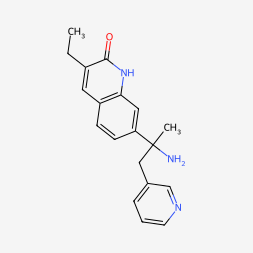 CCc1cc2ccc(C(C)(N)Cc3cccnc3)cc2[nH]c1=O